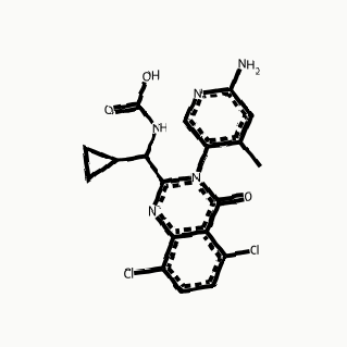 Cc1cc(N)ncc1-n1c(C(NC(=O)O)C2CC2)nc2c(Cl)ccc(Cl)c2c1=O